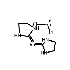 C1CN[C](=[Ru]=[C]2NCCN2)N1.[Cl][Ru]([Cl])[Cl]